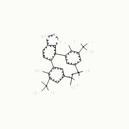 CC(C)(C)c1cc(-c2ccc3[nH]nnc3c2-c2cc(C(C)(C)C)cc(C(C)(C)C)c2O)c(O)c(C(C)(C)C)c1